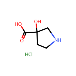 Cl.O=C(O)C1(O)CCNC1